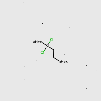 CCCCCCCC[Si](Cl)(Cl)CCCCCC